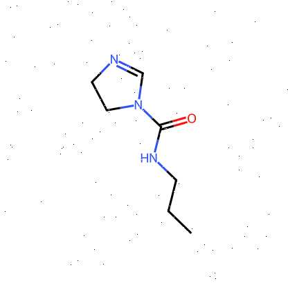 CCCNC(=O)N1C=NCC1